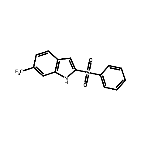 O=S(=O)(c1ccccc1)c1cc2ccc(C(F)(F)F)cc2[nH]1